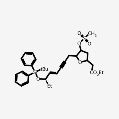 CCOC(=O)CC1CC(OS(C)(=O)=O)C(CC#C/C=C/[C@@H](CC)O[Si](c2ccccc2)(c2ccccc2)C(C)(C)C)O1